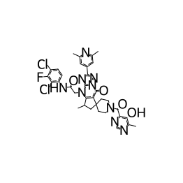 Cc1cc(-c2nc3n(CC(=O)Nc4ccc(Cl)c(F)c4Cl)c4c(c(=O)n3n2)C2(CCN(C(=O)c3ncnc(C)c3O)CC2)CC4C)cc(C)n1